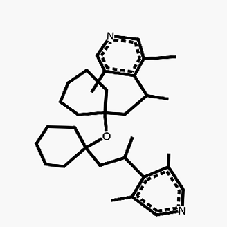 Cc1cncc(C)c1C(C)CC1(OC2(CC(C)c3c(C)cncc3C)CCCCC2)CCCCC1